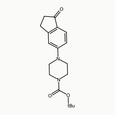 CC(C)(C)OC(=O)N1CCN(c2ccc3c(c2)CCC3=O)CC1